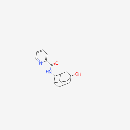 O=C(NC1C2CC3CC1CC(O)(C3)C2)c1ccccn1